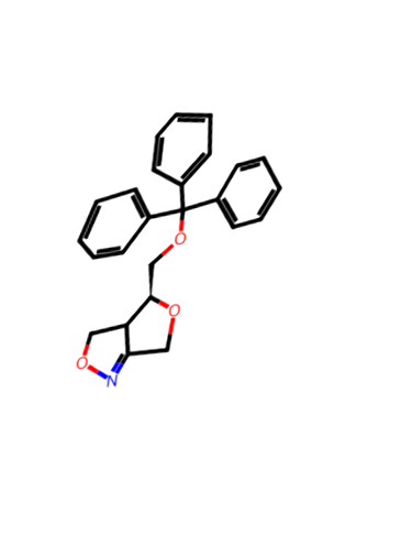 c1ccc(C(OC[C@H]2OCC3=NOCC32)(c2ccccc2)c2ccccc2)cc1